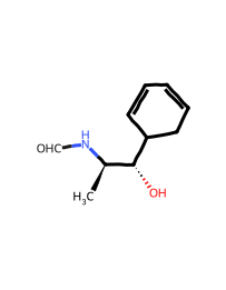 C[C@@H](NC=O)[C@@H](O)C1C=CC=CC1